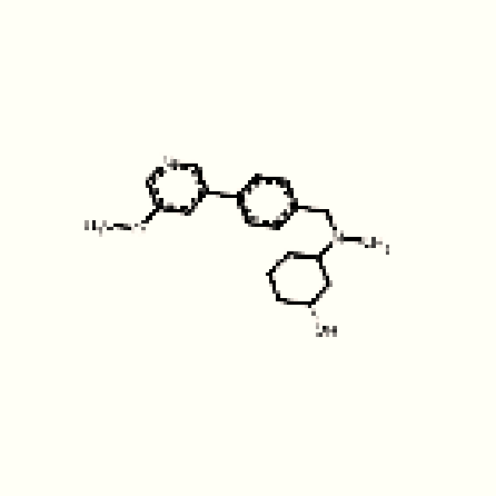 COc1cncc(-c2ccc(CN(C)C3CCC[C@@H](O)C3)cc2)c1